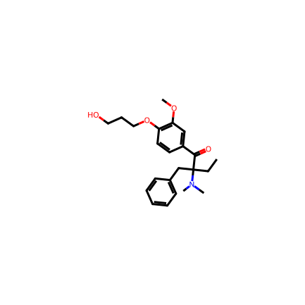 CCC(Cc1ccccc1)(C(=O)c1ccc(OCCCO)c(OC)c1)N(C)C